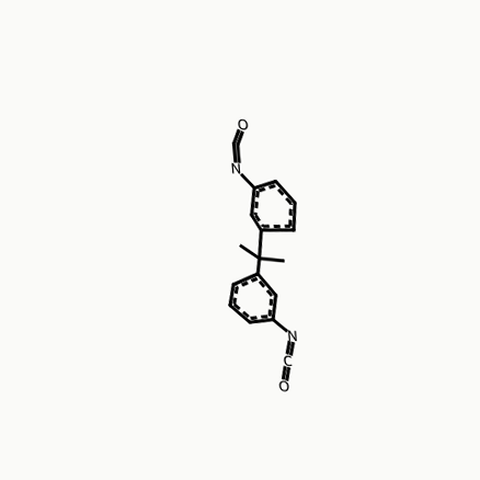 CC(C)(c1cccc(N=C=O)c1)c1cccc(N=C=O)c1